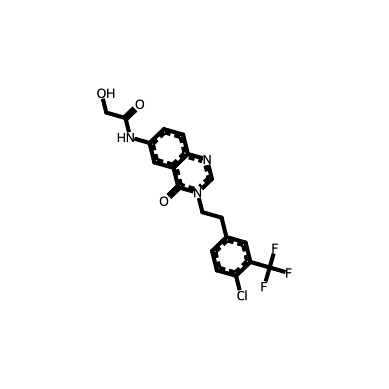 O=C(CO)Nc1ccc2ncn(CCc3ccc(Cl)c(C(F)(F)F)c3)c(=O)c2c1